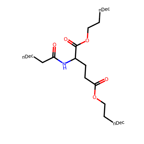 CCCCCCCCCCCCOC(=O)CCC(NC(=O)CCCCCCCCCCC)C(=O)OCCCCCCCCCCCC